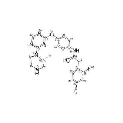 C[C@@H]1CNCCN1c1cc(Oc2ccc(NC(=O)Cc3ccc(F)cc3F)cc2)ncn1